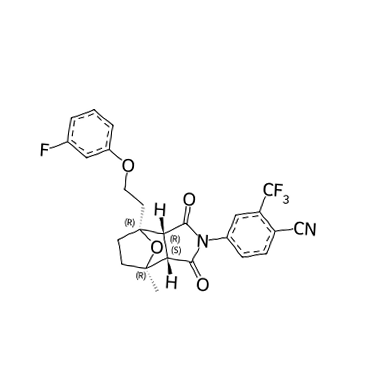 C[C@]12CC[C@](CCOc3cccc(F)c3)(O1)[C@@H]1C(=O)N(c3ccc(C#N)c(C(F)(F)F)c3)C(=O)[C@@H]12